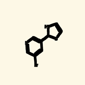 Brc1cncc(C2NC=CO2)c1